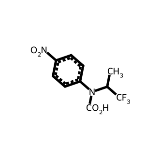 CC(N(C(=O)O)c1ccc([N+](=O)[O-])cc1)C(F)(F)F